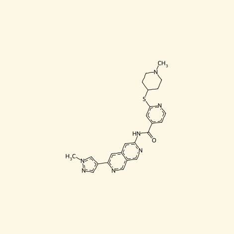 CN1CCC(Sc2cc(C(=O)Nc3cc4cc(-c5cnn(C)c5)ncc4cn3)ccn2)CC1